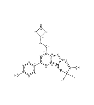 O=C(O)C(F)(F)F.Oc1ccc(-c2cc(OCC3CNC3)c3cn[nH]c3c2)cc1